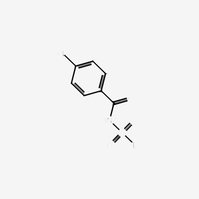 CCS(=O)(=O)NC(=O)c1ccc(Cl)cc1